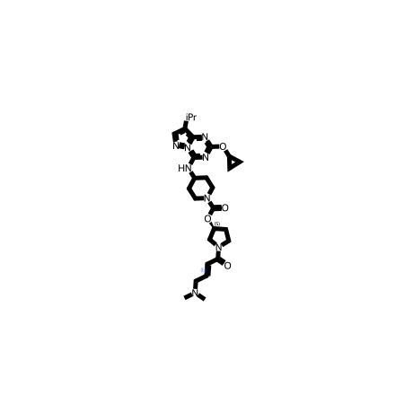 CC(C)c1cnn2c(NC3CCN(C(=O)O[C@H]4CCN(C(=O)/C=C/CN(C)C)C4)CC3)nc(OC3CC3)nc12